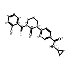 O=C(NC1CC1)c1ccc(N2CCCN(C(=O)c3ccccc3Cl)C2=O)nc1